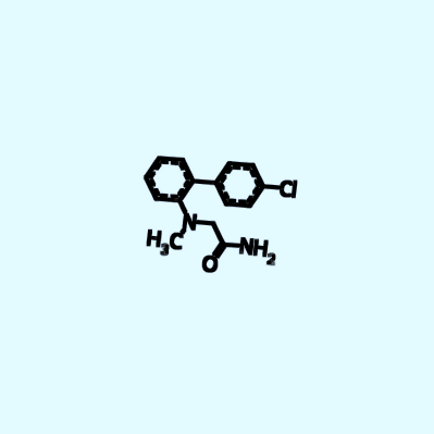 CN(CC(N)=O)c1ccccc1-c1ccc(Cl)cc1